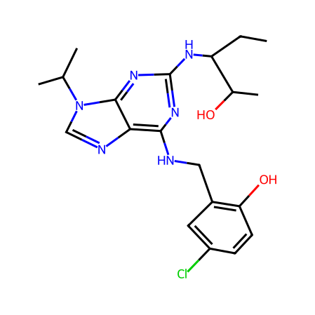 CCC(Nc1nc(NCc2cc(Cl)ccc2O)c2ncn(C(C)C)c2n1)C(C)O